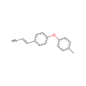 CCCC=Cc1ccc(Oc2ccc(C)cc2)cc1